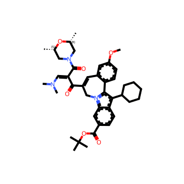 COc1ccc2c(c1)C=C(C(=O)C(=CN(C)C)C(=O)N1C[C@@H](C)O[C@@H](C)C1)Cn1c-2c(C2CCCCC2)c2ccc(C(=O)OC(C)(C)C)cc21